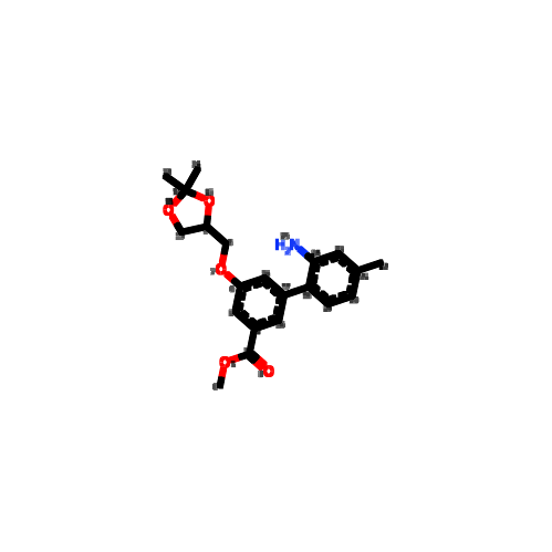 COC(=O)c1cc(OCC2COC(C)(C)O2)cc(-c2ccc(C)cc2N)c1